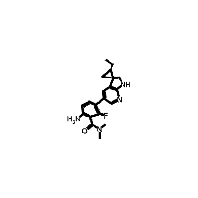 CC[C@@H]1C[C@]12CNc1ncc(-c3ccc(N)c(C(=O)N(C)C)c3F)cc12